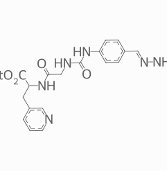 CCOC(=O)C(Cc1cccnc1)NC(=O)CNC(=O)Nc1ccc(C=NN)cc1